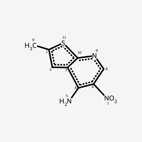 Cc1cc2c(N)c([N+](=O)[O-])cnc2s1